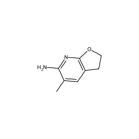 Cc1cc2c(nc1N)OCC2